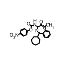 CN1C(=O)C(NC(=O)Oc2ccc([N+](=O)[O-])cc2)N=C(C2CCCCCC2)c2ccccc21